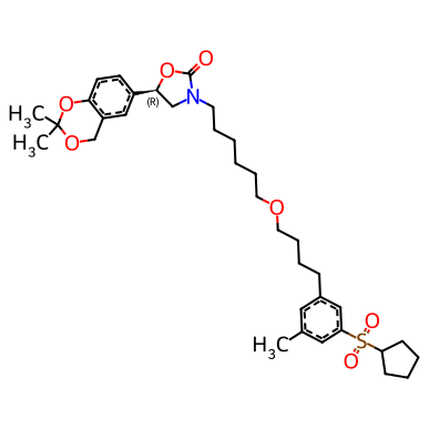 Cc1cc(CCCCOCCCCCCN2C[C@@H](c3ccc4c(c3)COC(C)(C)O4)OC2=O)cc(S(=O)(=O)C2CCCC2)c1